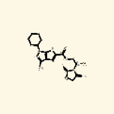 Cc1nn(C2CCCCC2)c2sc(C(=O)NC[C@H](C)N3C(=O)CNC3=O)cc12